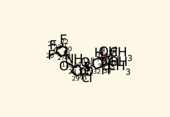 C[C@@H](O)[C@@H](O)[C@@]1(O)[C@H]2C[C@@H](S(=O)(=O)c3cc(C(=O)Nc4cc(F)c(F)c(F)c4)ccc3Cl)C[C@@H]1[C@@H](C)C2